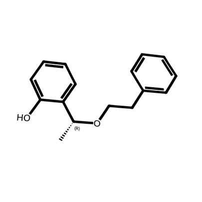 C[C@@H](OCCc1ccccc1)c1ccccc1O